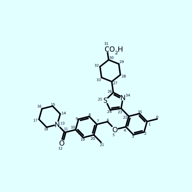 Cc1ccc(OCc2ccc(C(=O)N3CCCCC3)cc2C)c(-c2csc(C3CCC(C(=O)O)CC3)n2)c1